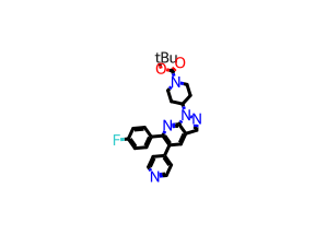 CC(C)(C)OC(=O)N1CCC(n2ncc3cc(-c4ccncc4)c(-c4ccc(F)cc4)nc32)CC1